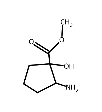 COC(=O)C1(O)CCCC1N